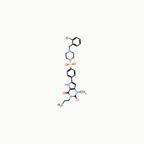 CCCn1c(=O)c2[nH]c(-c3ccc(S(=O)(=O)N4CCN(Cc5ccccc5Br)CC4)cc3)cc2n(C)c1=O